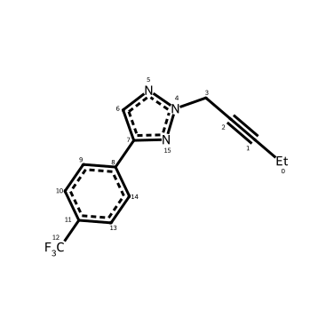 CCC#CCn1ncc(-c2ccc(C(F)(F)F)cc2)n1